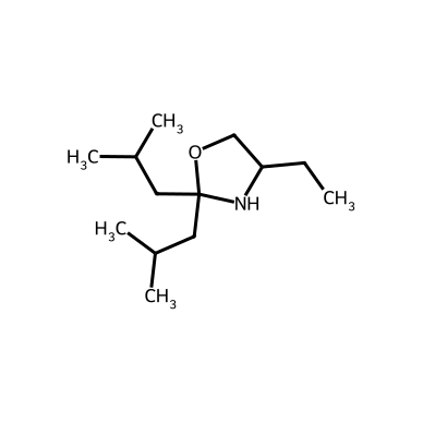 CCC1COC(CC(C)C)(CC(C)C)N1